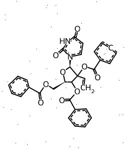 C=CC1(OC(=O)c2ccccc2)C(OC(=O)c2ccccc2)[C@@H](COC(=O)c2ccccc2)O[C@H]1n1ccc(=O)[nH]c1=O